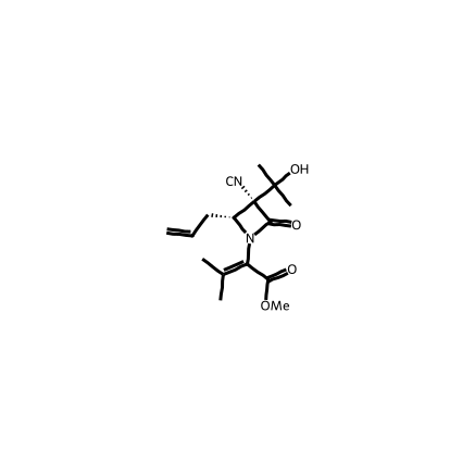 [C-]#[N+][C@]1(C(C)(C)O)C(=O)N(C(C(=O)OC)=C(C)C)[C@@H]1CC=C